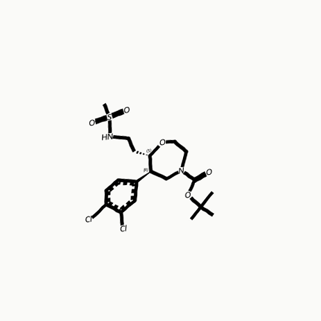 CC(C)(C)OC(=O)N1CCO[C@@H](CCNS(C)(=O)=O)[C@H](c2ccc(Cl)c(Cl)c2)C1